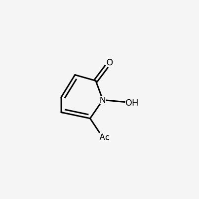 CC(=O)c1cccc(=O)n1O